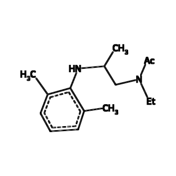 CCN(CC(C)Nc1c(C)cccc1C)C(C)=O